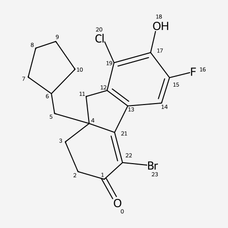 O=C1CCC2(CC3CCCC3)Cc3c(cc(F)c(O)c3Cl)C2=C1Br